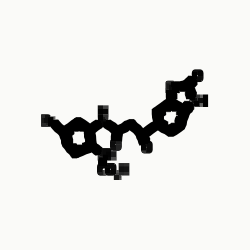 O=C(O)Nc1ccc(Br)cc1NC(=O)CC(=O)c1ccc2[nH]c(=O)sc2c1